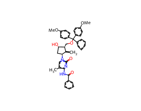 C=C1[C@H](COC(c2ccccc2)(c2ccc(OC)cc2)c2ccc(OC)cc2)[C@@H](O)C[C@@H]1n1cc(C)c(NC(=O)c2ccccc2)nc1=O